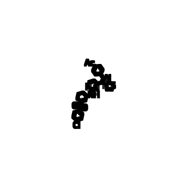 CC(=O)c1ccc(-c2nc3sccn3c2-c2ccnc(N[C@@H]3CCCN(S(=O)(=O)c4ccc(Cl)cc4)C3)n2)cc1